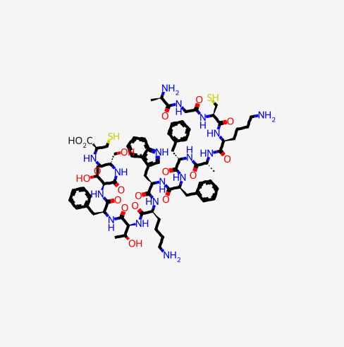 CC(O)[C@H](NC(=O)[C@H](CCCCN)NC(=O)[C@@H](Cc1c[nH]c2ccccc12)NC(=O)[C@H](Cc1ccccc1)NC(=O)[C@H](Cc1ccccc1)NC(=O)[C@@H](C)NC(=O)[C@H](CCCCN)NC(=O)[C@H](CS)NC(=O)CNC(=O)[C@@H](C)N)C(=O)N[C@@H](Cc1ccccc1)C(=O)N[C@H](C(=O)N[C@@H](CO)C(=O)N[C@H](CS)C(=O)O)C(C)O